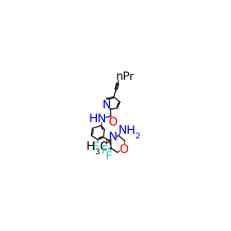 CCCC#Cc1ccc(C(=O)Nc2ccc(F)c([C@@]3(C)N=C(N)COCC3(F)F)c2)nc1